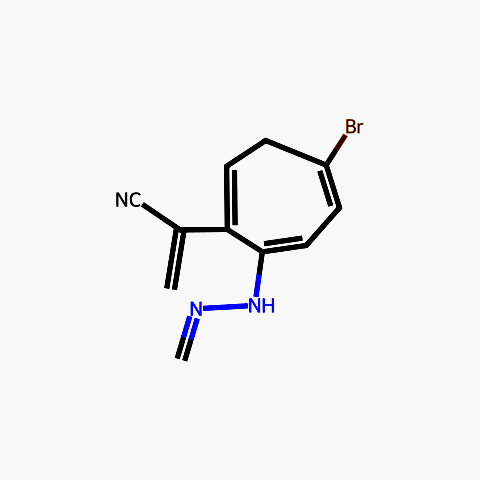 C=NNC1=CC=C(Br)CC=C1C(=C)C#N